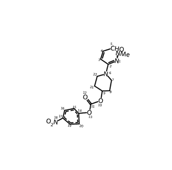 CN/N=C(\C=C/C=O)N1CCC(OC(=O)Oc2ccc([N+](=O)[O-])cc2)CC1